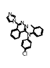 Cc1ccccc1N(c1ccc(Cl)cc1)c1nnc(-n2ccnc2)c2ccccc12